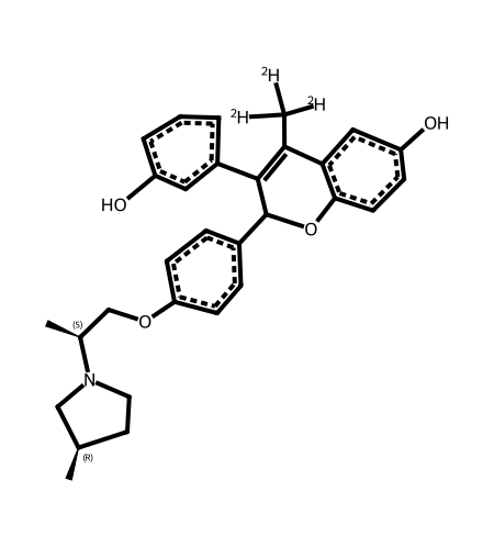 [2H]C([2H])([2H])C1=C(c2cccc(O)c2)C(c2ccc(OC[C@H](C)N3CC[C@@H](C)C3)cc2)Oc2ccc(O)cc21